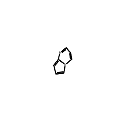 [c]1ccn2cccnc12